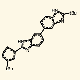 CC(C)(C)c1cccc(-c2nc3ccc(-c4ccc5[nH]c(C(C)(C)C)nc5c4)cc3[nH]2)c1